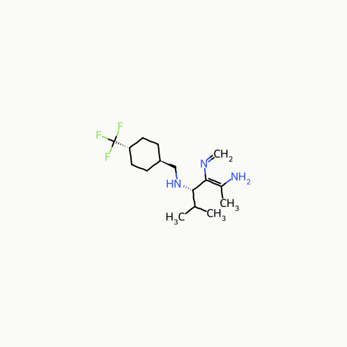 C=N/C(=C(/C)N)[C@@H](NC[C@H]1CC[C@H](C(F)(F)F)CC1)C(C)C